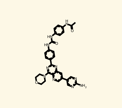 CC(=O)Nc1ccc(NC(=O)Nc2ccc(-c3nc(N4CCOCC4)c4ncc(-c5cnc(N)nc5)cc4n3)cc2)cc1